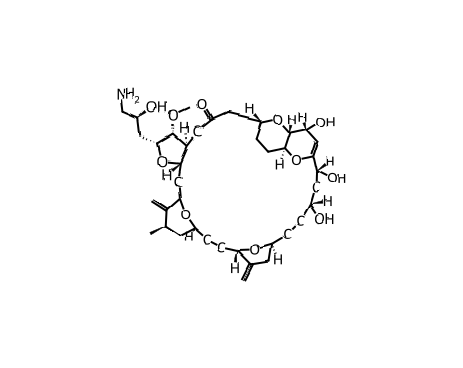 C=C1C2C[C@@H]3O[C@H](C[C@H](O)CN)[C@H](OC)[C@H]3CC(=O)C[C@H]3CC[C@@H]4OC(=C[C@@H](O)[C@H]4O3)[C@H](O)C[C@H](O)CC[C@H]3CC(=C)[C@H](CC[C@@H](C[C@H]1C)O2)O3